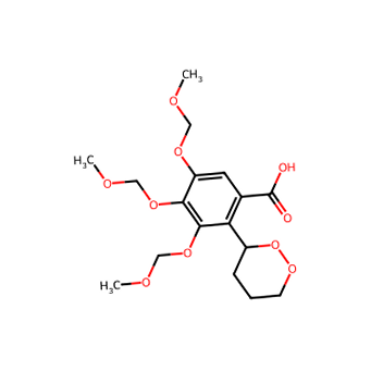 COCOc1cc(C(=O)O)c(C2CCCOO2)c(OCOC)c1OCOC